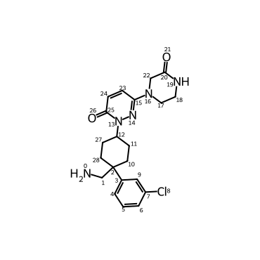 NCC1(c2cccc(Cl)c2)CCC(n2nc(N3CCNC(=O)C3)ccc2=O)CC1